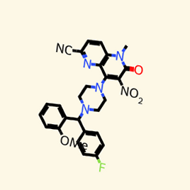 COc1ccccc1C(c1ccc(F)cc1)N1CCN(c2c([N+](=O)[O-])c(=O)n(C)c3ccc(C#N)nc23)CC1